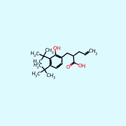 C=CCC(Cc1ccc(C(C)(C)C)c(C(C)(C)C)c1O)C(=O)O